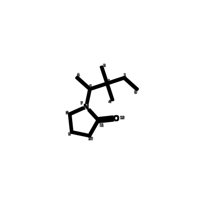 CCC(C)(C)C(C)N1CCCC1=O